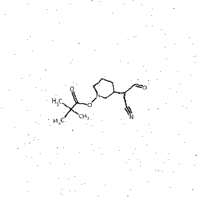 CC(C)(C)C(=O)ON1CCCC(C(C#N)C=O)C1